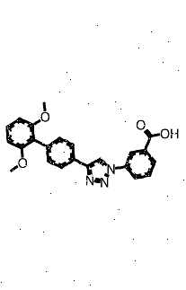 COc1cccc(OC)c1-c1ccc(-c2cn(-c3cccc(C(=O)O)c3)nn2)cc1